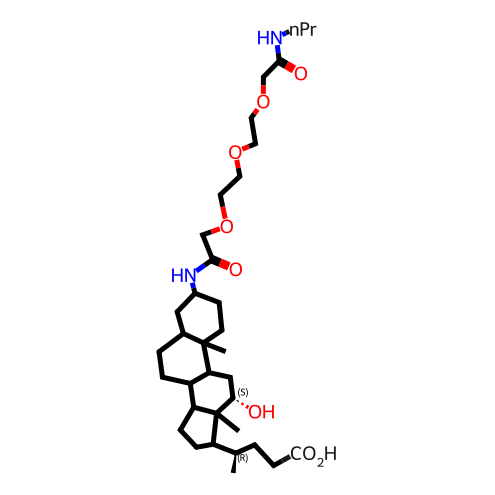 CCCNC(=O)COCCOCCOCC(=O)NC1CCC2(C)C(CCC3C2C[C@H](O)C2(C)C3CCC2[C@H](C)CCC(=O)O)C1